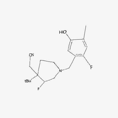 Cc1cc(F)c(CN2CCC(CC#N)(C(C)(C)C)C(F)C2)cc1O